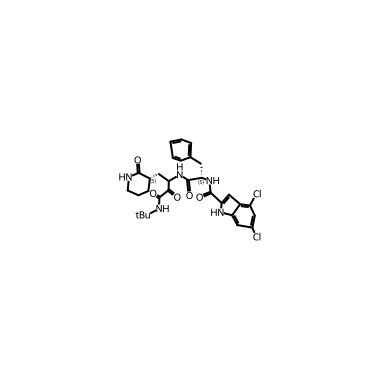 CC(C)(C)NC(=O)C(=O)C(C[C@@H]1CCCNC1=O)NC(=O)[C@H](Cc1ccccc1)NC(=O)c1cc2c(Cl)cc(Cl)cc2[nH]1